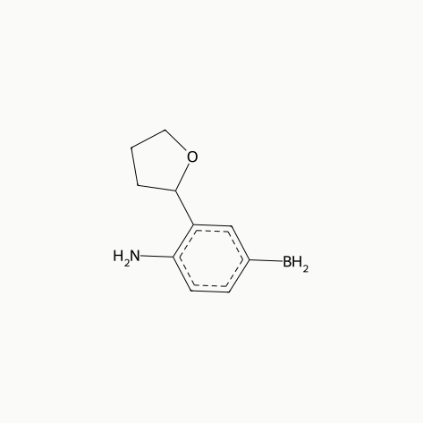 Bc1ccc(N)c(C2CCCO2)c1